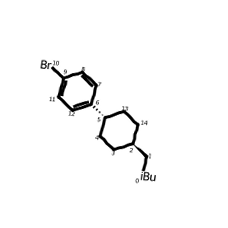 CCC(C)C[C@H]1CC[C@H](c2ccc(Br)cc2)CC1